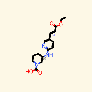 CCOC(=O)/C=C/c1ccc(N[C@@H]2CCCN(C(=O)O)C2)nc1